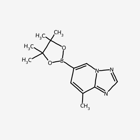 Cc1cc(B2OC(C)(C)C(C)(C)O2)cn2ncnc12